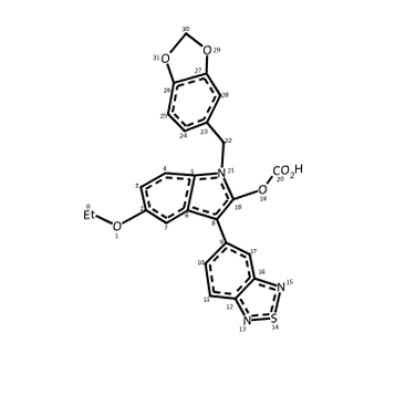 CCOc1ccc2c(c1)c(-c1ccc3nsnc3c1)c(OC(=O)O)n2Cc1ccc2c(c1)OCO2